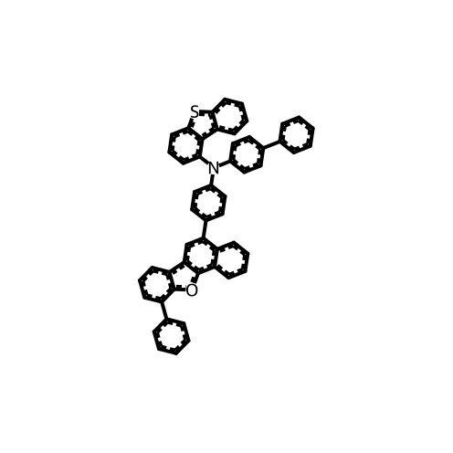 c1ccc(-c2ccc(N(c3ccc(-c4cc5c6cccc(-c7ccccc7)c6oc5c5ccccc45)cc3)c3cccc4sc5ccccc5c34)cc2)cc1